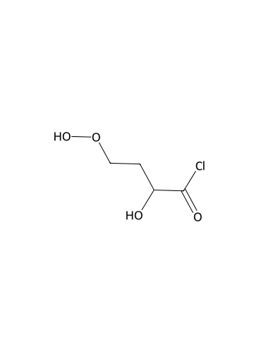 O=C(Cl)C(O)CCOO